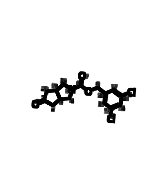 O=C1CC2CN(C(=O)OCc3cc(Cl)cc(Cl)c3)CC2C1